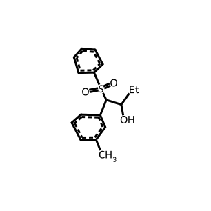 CCC(O)C(c1cccc(C)c1)S(=O)(=O)c1ccccc1